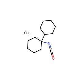 C.O=C=NC1(C2CCCCC2)CCCCC1